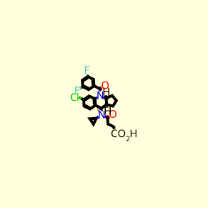 O=C(O)CCC(=O)N(C1CC1)[C@H]1c2ccc(Cl)cc2N(C(=O)c2cc(F)cc(F)c2)[C@@H]2CCC[C@@H]21